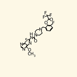 COc1ncnc2sc(NC(=O)N3CCN(Cc4cccc(F)c4OC(=O)C(F)(F)F)CC3)nc12